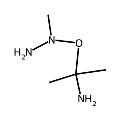 CN(N)OC(C)(C)N